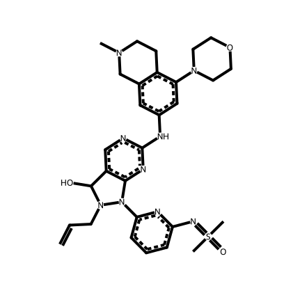 C=CCN1C(O)c2cnc(Nc3cc4c(c(N5CCOCC5)c3)CCN(C)C4)nc2N1c1cccc(N=S(C)(C)=O)n1